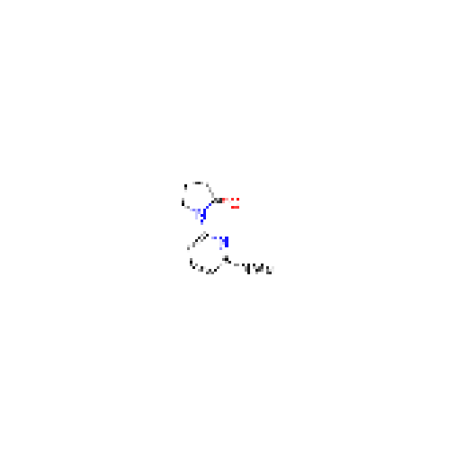 CNc1cccc(N2CCCC2=O)n1